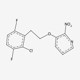 O=[N+]([O-])c1ncccc1OCCc1c(F)ccc(F)c1Cl